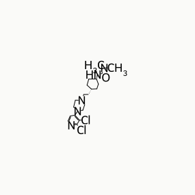 CN(C)C(=O)N[C@H]1CC[C@H](CCN2CCN(c3ccnc(Cl)c3Cl)CC2)CC1